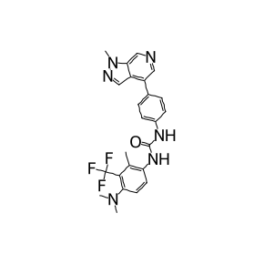 Cc1c(NC(=O)Nc2ccc(-c3cncc4c3cnn4C)cc2)ccc(N(C)C)c1C(F)(F)F